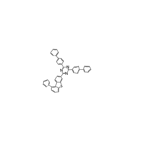 c1ccc(-c2ccc(-c3nc(-c4ccc(-c5ccccc5)cc4)nc(-c4ccc5c(c4)sc4cccc(-c6ccccc6)c45)n3)cc2)cc1